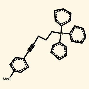 COc1ccc(C#CCCC[PH](c2ccccc2)(c2ccccc2)c2ccccc2)cc1